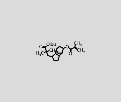 C=C(C)C(=O)OC1CC2CC1C1CCC(CC(C)(C)C(=O)OCC(C)C)C21